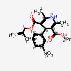 C=C(C)COC(=O)C1=C(C)NC(C)=C(C(=O)OC(C)C)C1c1cccc([N+](=O)[O-])c1